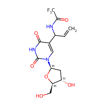 C=CC(NC(=O)C(F)(F)F)c1cn([C@H]2C[C@H](O)[C@@H](CO)O2)c(=O)[nH]c1=O